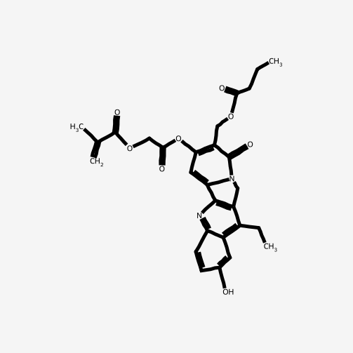 C=C(C)C(=O)OCC(=O)Oc1cc2n(c(=O)c1COC(=O)CCC)Cc1c-2nc2ccc(O)cc2c1CC